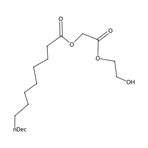 CCCCCCCCCCCCCCCCCC(=O)OCC(=O)OCCO